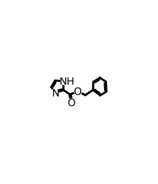 O=C(OCc1ccccc1)c1ncc[nH]1